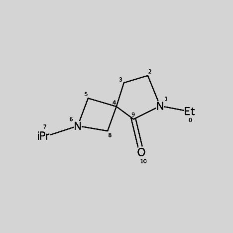 CCN1CCC2(CN(C(C)C)C2)C1=O